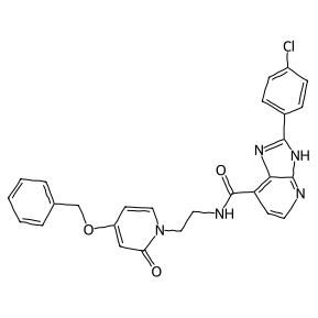 O=C(NCCn1ccc(OCc2ccccc2)cc1=O)c1ccnc2[nH]c(-c3ccc(Cl)cc3)nc12